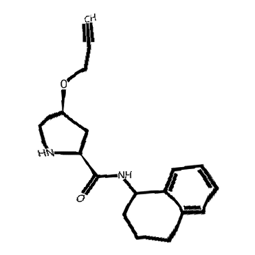 C#CCO[C@@H]1CN[C@H](C(=O)NC2CCCc3ccccc32)C1